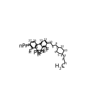 C=CCCC1CCC(CCCc2ccc3c(c2F)C(F)(F)C(F)(F)c2c-3ccc(CCC)c2F)CC1